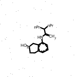 C=C(Nc1cccc2c1C[C@H](O)CC2)C(CCC)CCC